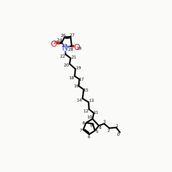 CCCCC1C2C=CC(C2)C1CCCCCCCCCCCCN1C(=O)C=CC1=O